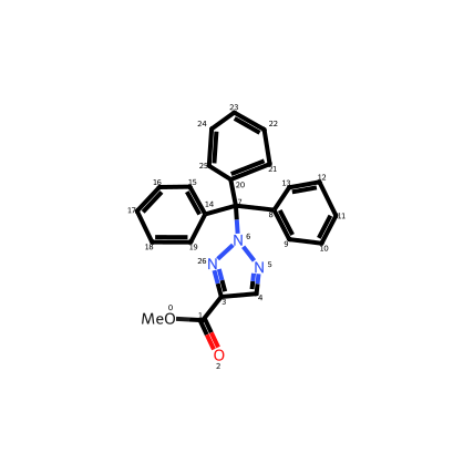 COC(=O)c1cnn(C(c2ccccc2)(c2ccccc2)c2ccccc2)n1